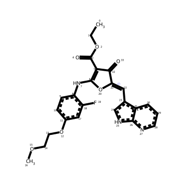 CCOC(=O)C1=C(Nc2ccc(OCCOC)cc2F)O/C(=C\c2c[nH]c3ncccc23)C1=O